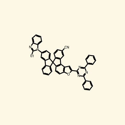 CCc1nc2ccccc2n1-c1ccc2c(c1)-c1ccccc1C21c2ccc(C#N)cc2-c2c1ccc1oc(-c3nc(-c4ccccc4)nc(-c4ccccc4)n3)cc21